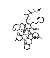 C#CCOC(C)(C)C(=O)OCN(C(=O)CN1CCOCC1)[C@@H](CCc1ccccc1)C(=O)N[C@@H](CC(C)C)C(=O)N[C@@H](Cc1ccccc1)C(=O)NC(CC(C)C)C(=O)[C@@]1(C)CO1